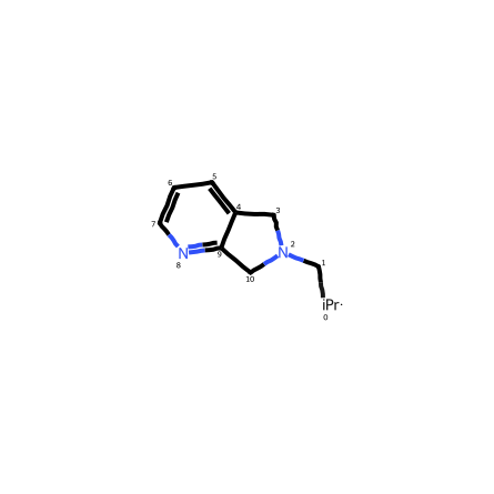 C[C](C)CN1Cc2cccnc2C1